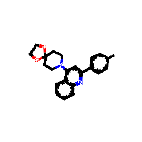 Cc1ccc(-c2cc(N3CCC4(CC3)OCCO4)c3ccccc3n2)cc1